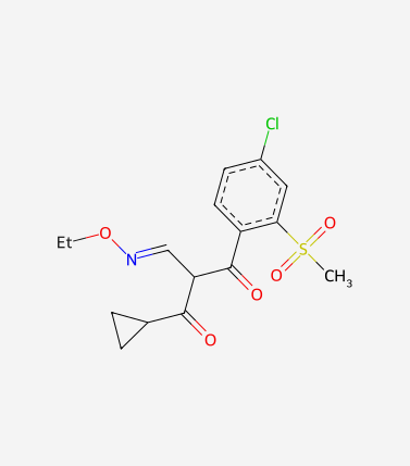 CCON=CC(C(=O)c1ccc(Cl)cc1S(C)(=O)=O)C(=O)C1CC1